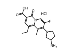 CCc1cc(C(=O)O)c(=O)n2cc(F)c(N3CCC(N)C3)c(C)c12.Cl